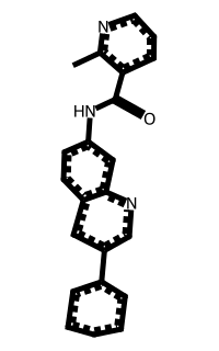 Cc1ncccc1C(=O)Nc1ccc2cc(-c3ccccc3)cnc2c1